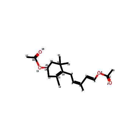 CC(=O)OC=CC(C)=CCC1=C(C)C[C@@H](OC(C)=O)CC1(C)C